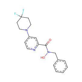 O=C(c1cc(N2CCC(F)(F)CC2)ccn1)N(O)Cc1ccccc1